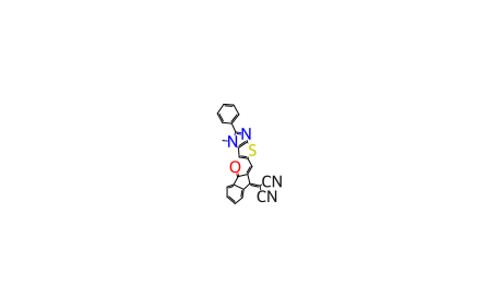 Cn1c(-c2ccccc2)nc2sc(/C=C3\C(=O)c4ccccc4C3=C(C#N)C#N)cc21